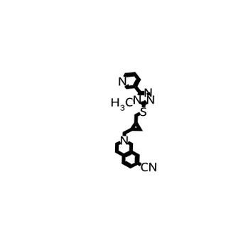 Cn1c(SCC2CC2CN2CCc3ccc(C#N)cc3C2)nnc1-c1cccnc1